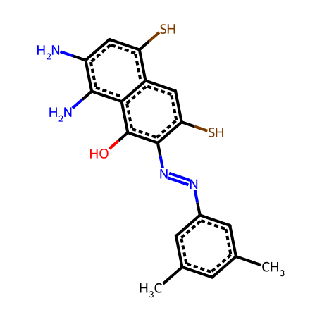 Cc1cc(C)cc(/N=N/c2c(S)cc3c(S)cc(N)c(N)c3c2O)c1